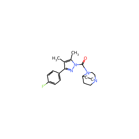 Cc1c(-c2ccc(F)cc2)nn(C(=O)N2CCN3CCC2CC3)c1C